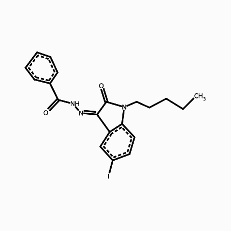 CCCCCN1C(=O)C(=NNC(=O)c2ccccc2)c2cc(I)ccc21